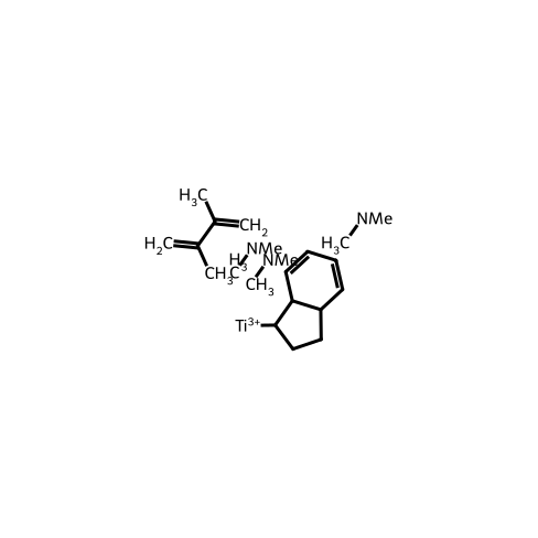 C=C(C)C(=C)C.C[N-]C.C[N-]C.C[N-]C.[Ti+3][CH]1CCC2C=CC=CC12